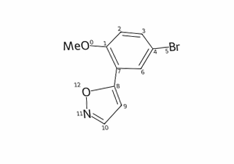 COc1ccc(Br)cc1-c1ccno1